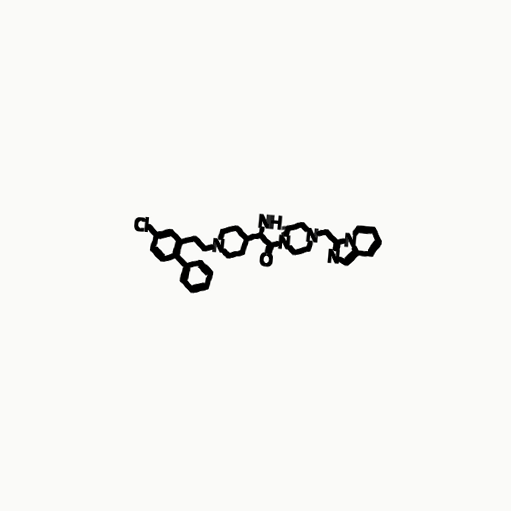 N[C@@H](C(=O)N1CCN(Cc2ncc3ccccn23)CC1)C1CCN(CCc2cc(Cl)ccc2-c2ccccc2)CC1